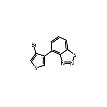 Brc1cscc1-c1cccc2snnc12